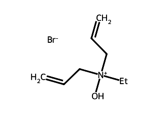 C=CC[N+](O)(CC)CC=C.[Br-]